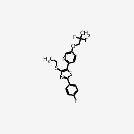 CCSc1nc(-c2ccc(F)cc2)sc1-c1ccc(OCC(C)(F)F)cn1